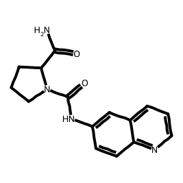 NC(=O)C1CCCN1C(=O)Nc1ccc2ncccc2c1